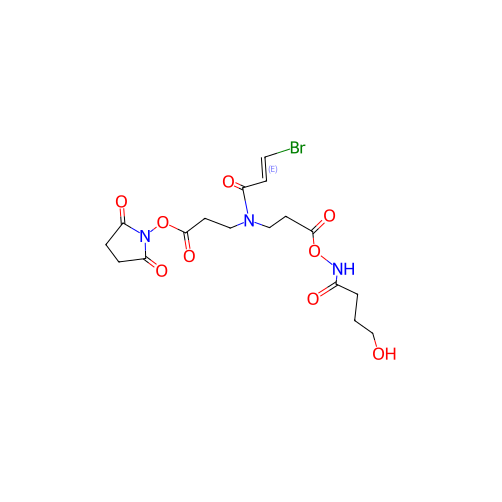 O=C(CCCO)NOC(=O)CCN(CCC(=O)ON1C(=O)CCC1=O)C(=O)/C=C/Br